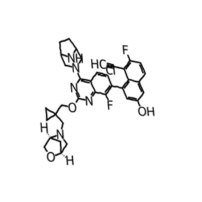 C#Cc1c(F)ccc2cc(O)cc(-c3c(Cl)cc4c(N5CC6CCC(C5)N6)nc(OCC5(CN6C[C@@H]7C[C@H]6CO7)CC5)nc4c3F)c12